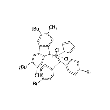 Cc1cc2c(cc1C(C)(C)C)-c1cc(C(C)(C)C)c(C)cc1[CH]2[Hf]([Cl])([Cl])(=[C](c1ccc(Br)cc1)c1ccc(Br)cc1)[CH]1C=CC=C1